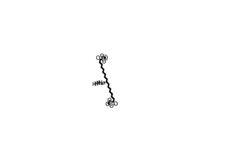 O=C(CCCCCCCCCCCCCCCCC(=O)P(=O)([O-])[O-])P(=O)([O-])[O-].[H+].[H+].[Na+].[Na+]